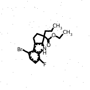 CCCC1(C(=O)OCC)CCc2c1[nH]c1c(F)ccc(Br)c21